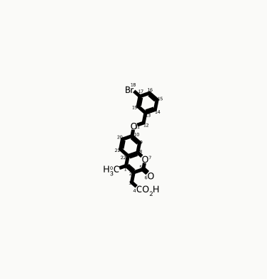 Cc1c(CC(=O)O)c(=O)oc2cc(OCc3cccc(Br)c3)ccc12